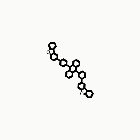 C1=CC(c2ccc3oc4ccccc4c3c2)CC(c2c3ccccc3c(-c3ccc(-c4ccc5oc6ccccc6c5c4)cc3)c3ccccc23)=C1